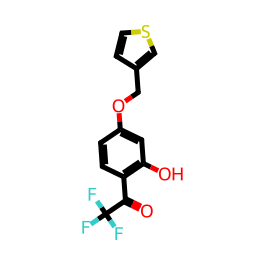 O=C(c1ccc(OCc2ccsc2)cc1O)C(F)(F)F